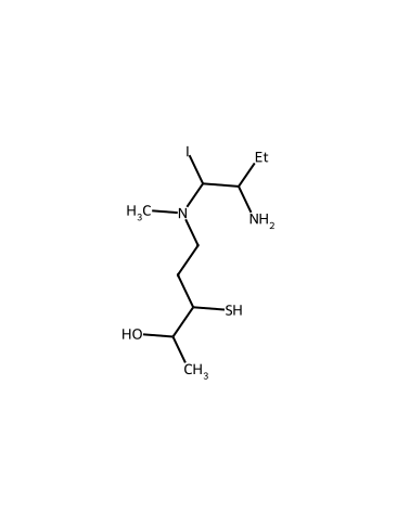 CCC(N)C(I)N(C)CCC(S)C(C)O